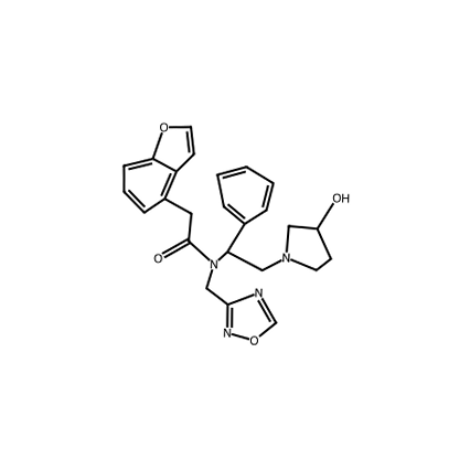 O=C(Cc1cccc2occc12)N(Cc1ncon1)C(CN1CCC(O)C1)c1ccccc1